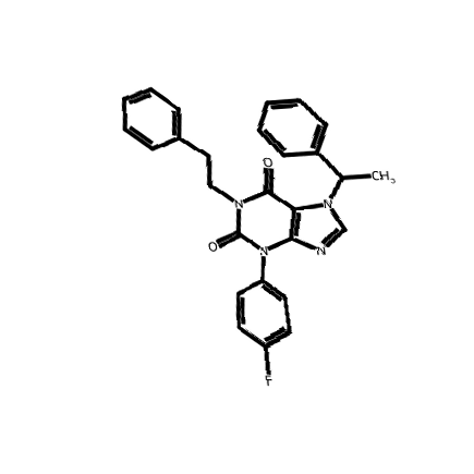 CC(c1ccccc1)n1cnc2c1c(=O)n(CCc1ccccc1)c(=O)n2-c1ccc(F)cc1